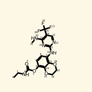 CCNC(=O)Oc1ccc(Nc2ncc(C(F)(F)F)c(NC)n2)c2c1OCCO2